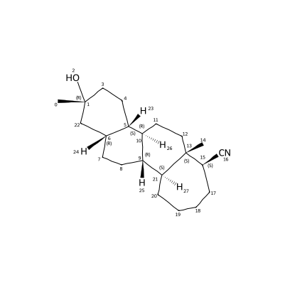 C[C@@]1(O)CC[C@H]2[C@H](CC[C@@H]3[C@@H]2CC[C@]2(C)[C@@H](C#N)CCCC[C@@H]32)C1